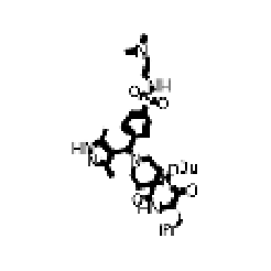 CCCCN1C(=O)[C@H](CC(C)C)NC(=O)C12CCN(C(c1ccc(S(=O)(=O)NCCN(C)C)cc1)c1c(C)n[nH]c1C)CC2